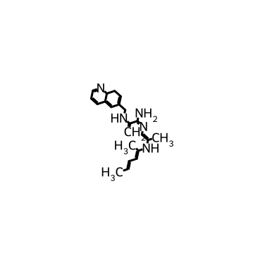 C=C(NCC1=CCC2N=CC=CC2=C1)/C(N)=N\C=C(/C)N/C(C)=C/C=C/C